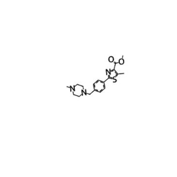 COC(=O)c1nc(-c2ccc(CN3CCN(C)CC3)cc2)sc1C